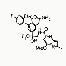 CCOc1c(CC(N)=O)cc([C@@](O)(CNC(=O)c2cc(OC)n3nc(C)cc3n2)C(F)(F)F)nc1-c1ccc(F)cc1